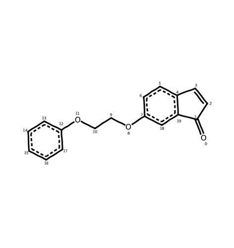 O=C1C=Cc2ccc(OCCOc3ccccc3)cc21